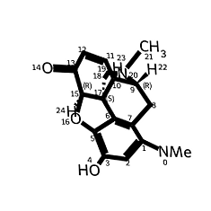 CNc1cc(O)c2c3c1C[C@@H]1[C@@H]4C=CC(=O)[C@H](O2)[C@]34CCN1C